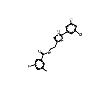 O=C(NCCc1c[nH]c(-c2cc(Cl)cc(Cl)c2)n1)c1cc(F)cc(F)c1